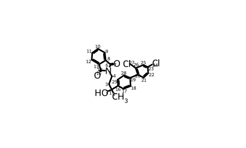 CC(O)(CCN1C(=O)c2ccccc2C1=O)c1ccc(-c2ccc(Cl)cc2Cl)cc1